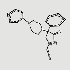 O=CNCC(C(=O)O)(c1ccccn1)N1CCN(c2ccncc2)CC1